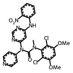 COc1cc(OC)c(Cl)c(N(C)C(=O)N(c2ccncc2)c2cc(Nc3ccccc3[N+](=O)[O-])ncn2)c1Cl